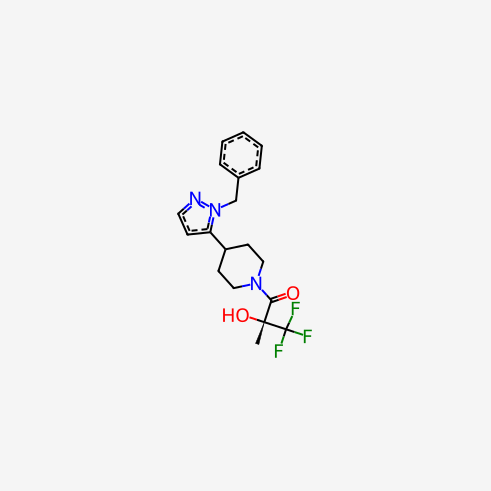 C[C@@](O)(C(=O)N1CCC(c2ccnn2Cc2ccccc2)CC1)C(F)(F)F